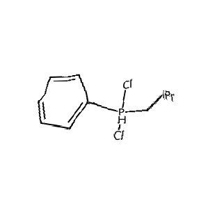 CC(C)C[PH](Cl)(Cl)c1ccccc1